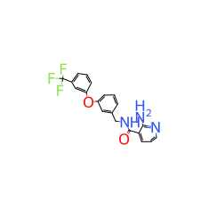 Nc1ncccc1C(=O)NCc1cccc(Oc2cccc(C(F)(F)F)c2)c1